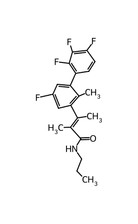 CCCNC(=O)/C(C)=C(\C)c1cc(F)cc(-c2ccc(F)c(F)c2F)c1C